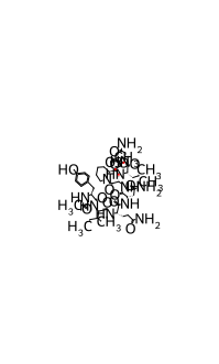 CC[C@H](C)[C@H](NC(=O)[C@H](Cc1ccc(O)cc1)NC(C)=O)C(=O)N[C@@H](CCC(N)=O)C(=O)N[C@@H](CC(N)=O)C(=O)N[C@@H](CCS(C)(=O)=O)C(=O)N1CCCC[C@H]1C(=O)N[C@@H](CC(C)C)C(=O)NCC(N)=O